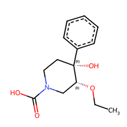 CCO[C@@H]1CN(C(=O)O)CC[C@@]1(O)c1ccccc1